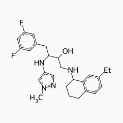 CCc1ccc2c(c1)C(NCC(O)C(Cc1cc(F)cc(F)c1)Nc1cnn(C)c1)CCC2